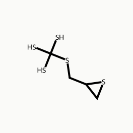 SC(S)(S)SCC1CS1